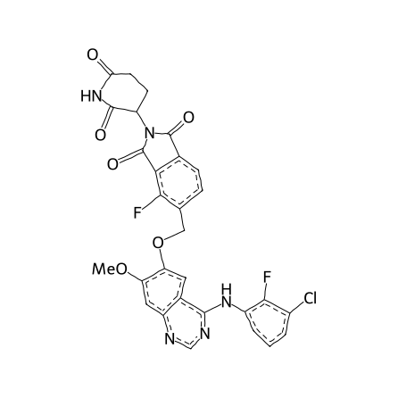 COc1cc2ncnc(Nc3cccc(Cl)c3F)c2cc1OCc1ccc2c(c1F)C(=O)N(C1CCC(=O)NC1=O)C2=O